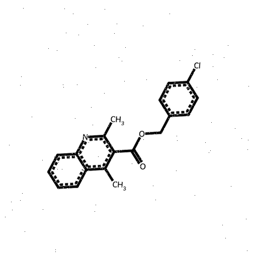 Cc1nc2ccccc2c(C)c1C(=O)OCc1ccc(Cl)cc1